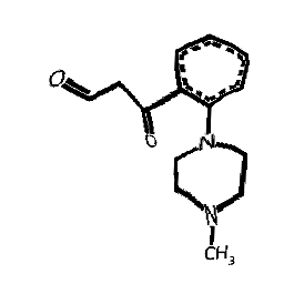 CN1CCN(c2ccccc2C(=O)CC=O)CC1